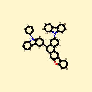 c1ccc(-n2c3ccccc3c3cc(-c4cc5cc6oc7ccccc7c6cc5c5ccc(-n6c7ccccc7c7ccccc76)cc45)ccc32)cc1